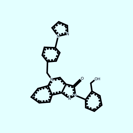 O=c1c2cn(Cc3ccc(-n4cccn4)cc3)c3ccccc3c-2nn1-c1ccccc1CO